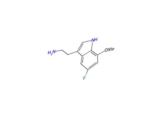 COc1cc(F)cc2c(CCN)c[nH]c12